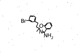 CC1(CCc2cccc(Br)c2)N=C(N)c2ccccc2O1